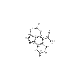 CN(C)Cc1c(C(=O)O)c2c(c3ccn(C)c13)CNCO2